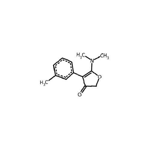 Cc1cccc(C2=C(N(C)C)OCC2=O)c1